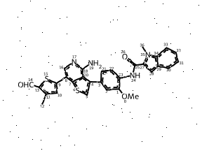 COc1cc(-c2csc3c(-c4cc(C)c(C=O)s4)cnc(N)c23)ccc1NC(=O)c1cc2ccccc2n1C